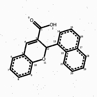 O=C(O)C1=Cc2ccccc2OC1c1cccc2ccccc12